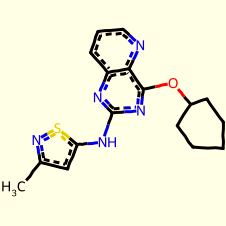 Cc1cc(Nc2nc(OC3CCCCC3)c3ncccc3n2)sn1